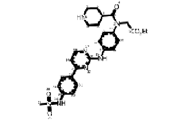 CCOC(=O)CN(C(=O)C1CCNCC1)c1ccc(Nc2nccc(-c3ccc(NS(C)(=O)=O)cc3)n2)cc1